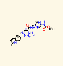 Cc1ccc2c(n1)CC[C@@H](CN(N)/C=C(\N)C(=O)NCC1N=CC(NC(=O)OC(C)(C)C)=N[C@H]1C)C2